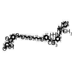 C[C@@H](NC(=O)c1cccc(NCc2nnc(-c3ccncn3)n2C)c1)c1cccc(OCCCCCOCCCOCCOc2ccc3c(c2)CN(C2CCC(=O)NC2=O)C3=O)c1